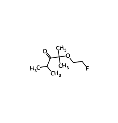 CC(C)C(=O)C(C)(C)OCCF